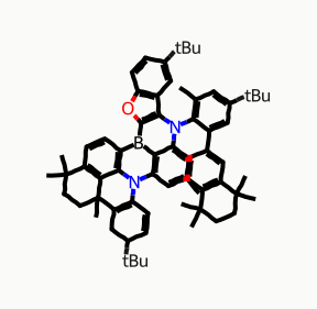 Cc1cc2c3c(c1)N(c1c(C)cc(C(C)(C)C)cc1-c1ccc4c(c1)C(C)(C)CCC4(C)C)c1c(oc4ccc(C(C)(C)C)cc14)B3c1ccc3c4c1N2C1=C(CC(C(C)(C)C)C=C1)C4(C)CCC3(C)C